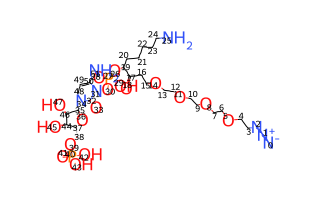 [N-]=[N+]=NCCOCCOCCOCCOCCC(=O)C(CCCCCN)OP(=O)(O)ON1C(=O)N([C@@H]2O[C@H](COP(=O)(O)O)[C@@H](O)[C@H]2O)CC=C1N